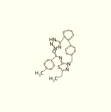 CCc1nn(Cc2ccc(-c3ccccc3-c3nnn[nH]3)cc2)c(=NC(=O)c2ccc(C)cc2)s1